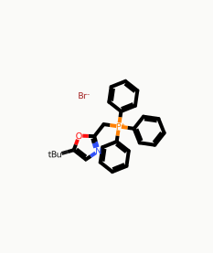 CC(C)(C)c1cnc(C[P+](c2ccccc2)(c2ccccc2)c2ccccc2)o1.[Br-]